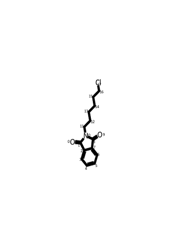 O=C1c2ccccc2C(=O)N1CCCCCCCl